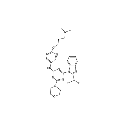 CN(C)CCCOc1ncc(Nc2nc(N3CCOCC3)nc(-n3c(C(F)F)nc4ccccc43)n2)cn1